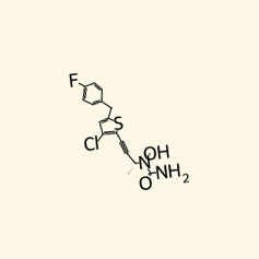 C[C@H](C#Cc1sc(Cc2ccc(F)cc2)cc1Cl)N(O)C(N)=O